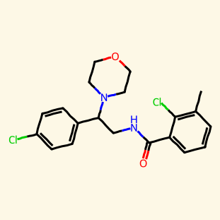 Cc1cccc(C(=O)NCC(c2ccc(Cl)cc2)N2CCOCC2)c1Cl